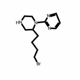 BrCCCCC1CNCCN1c1ncccn1